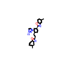 Cc1ccc2oc(/C=C/c3ccc(-c4nc5cc(C)ccc5o4)cc3)nc2c1.c1c[nH]nn1